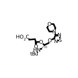 CC(C)(C)NC[C@@H](COc1nsnc1N1CCOCC1)OC(=O)CCC(=O)O